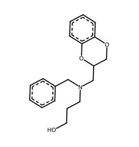 OCCCN(Cc1ccccc1)CC1COc2ccccc2O1